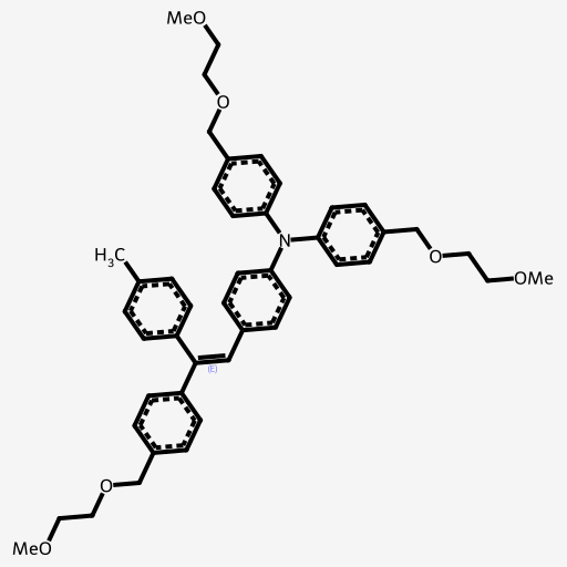 COCCOCc1ccc(/C(=C/c2ccc(N(c3ccc(COCCOC)cc3)c3ccc(COCCOC)cc3)cc2)c2ccc(C)cc2)cc1